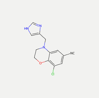 [C-]#[N+]c1cc(Cl)c2c(c1)N(Cc1c[nH]cn1)CCO2